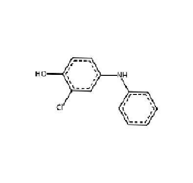 Oc1ccc(Nc2ccccc2)cc1Cl